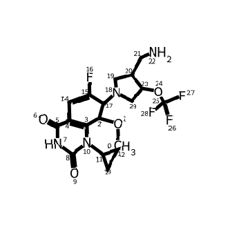 COC1c2c(c(=O)[nH]c(=O)n2C2CC2)C=C(F)C1N1CC(CN)C(OC(F)(F)F)C1